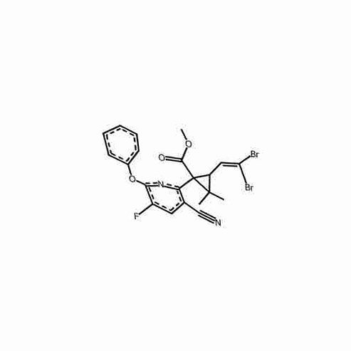 COC(=O)C1(c2nc(Oc3ccccc3)c(F)cc2C#N)C(C=C(Br)Br)C1(C)C